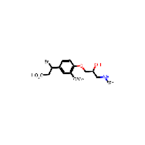 CCC(CC(=O)O)c1ccc(OCC(O)CNC(C)C)c(OC)c1